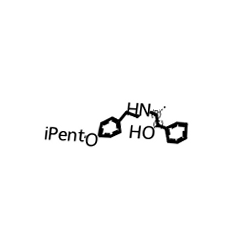 CCCC(C)Oc1ccc(CCN[C@H](C)[C@@H](O)c2ccccc2)cc1